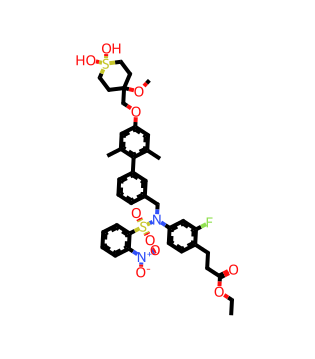 CCOC(=O)CCc1ccc(N(Cc2cccc(-c3c(C)cc(OCC4(OC)CCS(O)(O)CC4)cc3C)c2)S(=O)(=O)c2ccccc2[N+](=O)[O-])cc1F